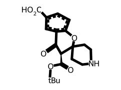 CC(C)(C)OC(=O)[C@H]1C(=O)c2cc(C(=O)O)ccc2OC12CCNCC2